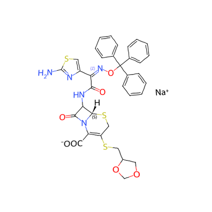 Nc1nc(/C(=N/OC(c2ccccc2)(c2ccccc2)c2ccccc2)C(=O)NC2C(=O)N3C(C(=O)[O-])=C(SCC4COCO4)CS[C@@H]23)cs1.[Na+]